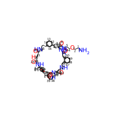 NCCOCCNC(=O)[C@@H]1Cc2cccc(c2)CNC(=O)/C=C/C(O)N[C@H]2CC[C@H](CC2)C(=O)N[C@@H](Cc2ccco2)C(=O)NCc2ccccc2CC(=O)N1